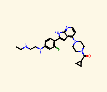 CCNCCNc1ccc(-c2cc3c(N4CCN(C(=O)C5CC5)CC4)ccnc3[nH]2)c(F)c1